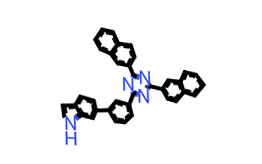 c1cc(-c2ccc3cc[nH]c3c2)cc(-c2nc(-c3ccc4ccccc4c3)nc(-c3ccc4ccccc4c3)n2)c1